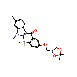 CC1=CCC2C(=C1)N(C)C1=C2C(=O)c2cc(OC[C@H]3COC(C)(C)O3)ccc2C1(C)C